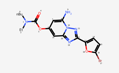 CCCCN(CC)C(=O)Oc1cc(N)n2nc(-c3ccc(Br)o3)nc2c1